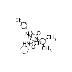 CCc1ccc(-c2cc3n(n2)CC(C)(C(=O)NC2CCCCCC2)N(c2cc(C)cc(C)c2)C3=O)cc1